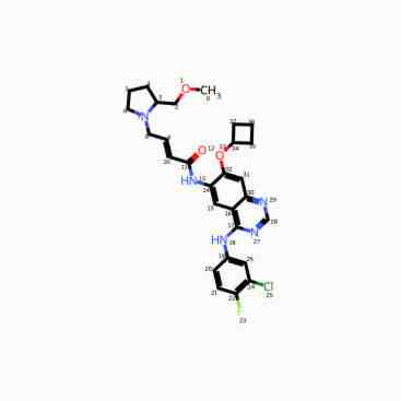 COCC1CCCN1CC=CC(=O)Nc1cc2c(Nc3ccc(F)c(Cl)c3)ncnc2cc1OC1CCC1